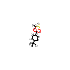 CSC(C)OC(=O)C1CCC(C(C)(C)C)CC1